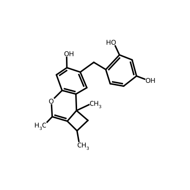 CC1=C2C(C)CC2(C)c2cc(Cc3ccc(O)cc3O)c(O)cc2O1